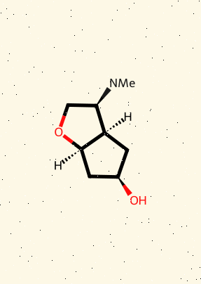 CN[C@@H]1CO[C@@H]2C[C@H](O)C[C@H]12